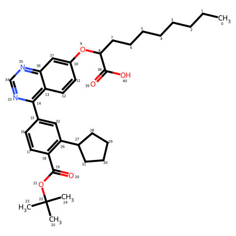 CCCCCCCCC(Oc1ccc2c(-c3ccc(C(=O)OC(C)(C)C)c(C4CCCC4)c3)ncnc2c1)C(=O)O